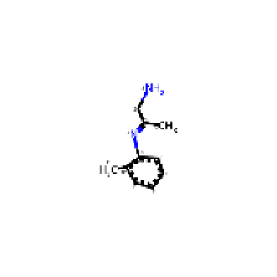 C/C(CN)=N\c1ccccc1C